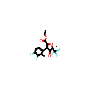 CCOC(=O)C1=C(c2ccc(F)c(F)c2C)C(=O)[C@](C)(C(F)(F)F)O1